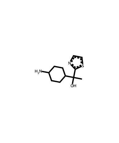 CC(O)(c1nccs1)C1CCC(N)CC1